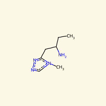 CCC(N)Cc1nncn1C